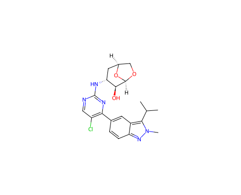 CC(C)c1c2cc(-c3nc(N[C@@H]4C[C@H]5CO[C@H](O5)[C@H]4O)ncc3Cl)ccc2nn1C